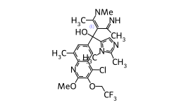 CN/C(C)=C(\C(C)=N)C(O)(c1cc(C)c2nc(OC)c(OCC(F)(F)F)c(Cl)c2c1)c1cnc(C)n1C